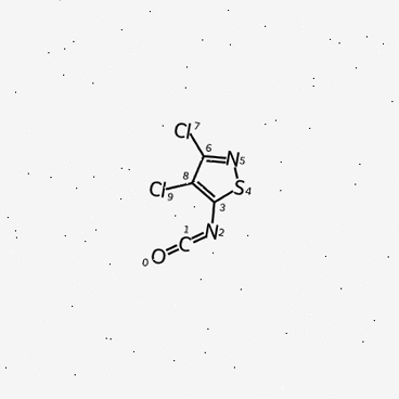 O=C=Nc1snc(Cl)c1Cl